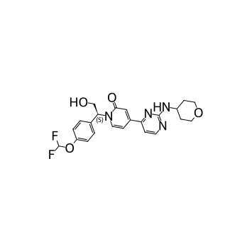 O=c1cc(-c2ccnc(NC3CCOCC3)n2)ccn1[C@H](CO)c1ccc(OC(F)F)cc1